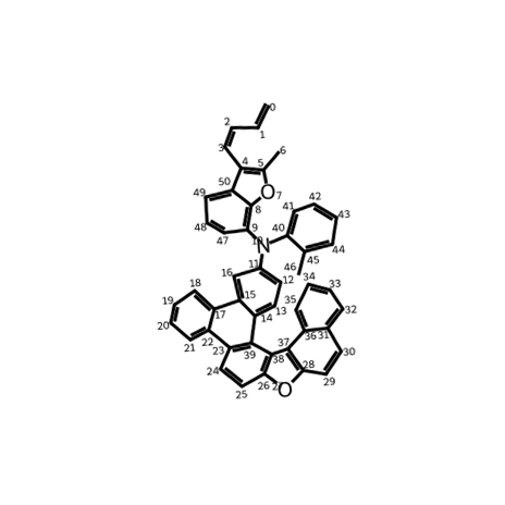 C=C/C=C\c1c(C)oc2c(N(c3ccc4c(c3)c3ccccc3c3ccc5oc6ccc7ccccc7c6c5c34)c3ccccc3C)cccc12